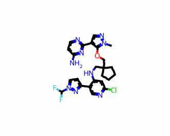 Cn1ncc(-c2nccc(N)n2)c1OCC1(CNc2cc(Cl)ncc2-c2ccn(C(F)F)n2)CCCC1